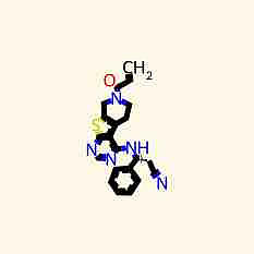 C=CC(=O)N1CCc2c(sc3ncnc(N[C@H](CC#N)c4ccccc4)c23)C1